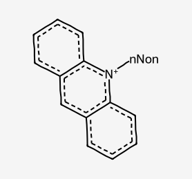 CCCCCCCCC[n+]1c2ccccc2cc2ccccc21